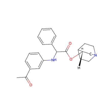 CC(=O)c1cccc(NC(C(=O)O[C@H]2CN3CCC2CC3)c2ccccc2)c1